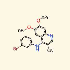 CCCOc1cc2ncc(C#N)c(Nc3cccc(Br)c3)c2cc1OCCC